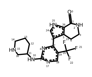 O=C1NCCc2c(-c3nc(NC4CCCNC4)ncc3C(F)(F)F)c[nH]c21